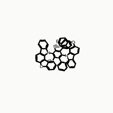 CC(C)(C)c1c(-c2ccccc2F)c(-n2c3ccccc3c3ccc4oc5ccccc5c4c32)c(-c2ccccc2F)c(C(C)(C)C)c1-n1c2ccccc2c2ccc3oc4ccccc4c3c21